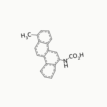 Cc1cccc2c1ccc1c3ccccc3c(NC(=O)O)cc21